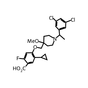 COC1(COc2cc(F)c(C(=O)O)cc2C2CC2)CCN(C(C)c2cc(Cl)cc(Cl)c2)CC1